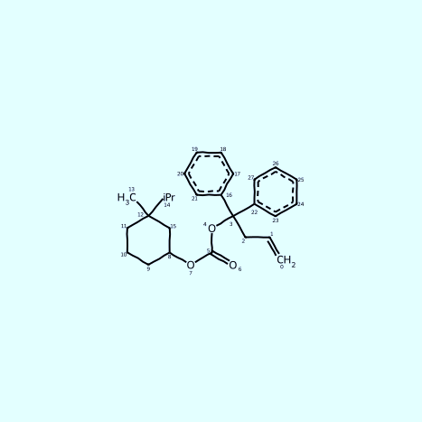 C=CCC(OC(=O)OC1CCCC(C)(C(C)C)C1)(c1ccccc1)c1ccccc1